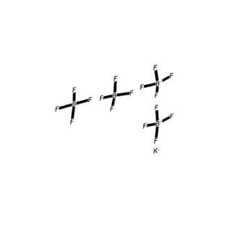 F[B-](F)(F)F.F[B-](F)(F)F.F[B-](F)(F)F.F[B-](F)(F)F.[K]